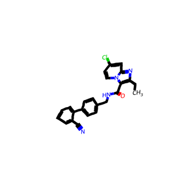 CCc1nc2cc(Cl)ccn2c1C(=O)NCc1ccc(-c2ccccc2C#N)cc1